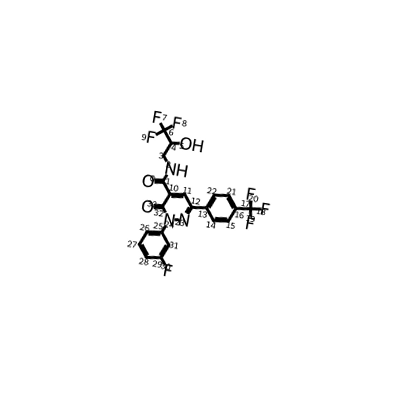 O=C(NCC(O)C(F)(F)F)c1cc(-c2ccc(C(F)(F)F)cc2)nn(-c2cccc(F)c2)c1=O